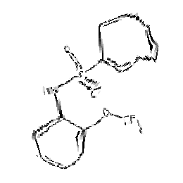 O=S(=O)(Nc1c[c]ccc1OC(F)(F)F)c1ccccc1